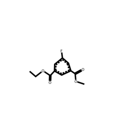 CCOC(=O)c1cc(F)cc(C(=O)OC)c1